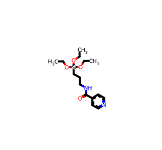 CCO[Si](CCCNC(=O)c1ccncc1)(OCC)OCC